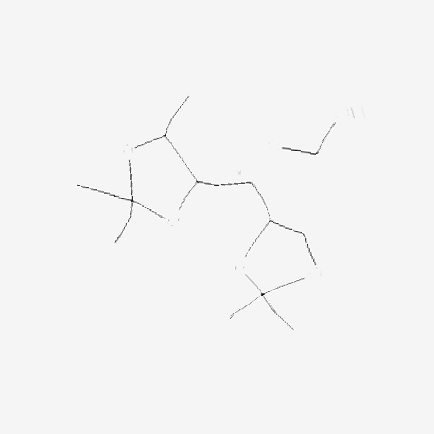 CC1OC(C)(C)OC1[C@H](OCO)C1COC(C)(C)O1